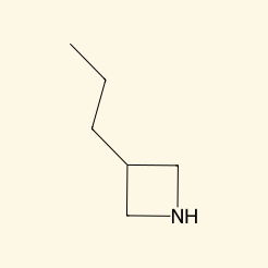 CCCC1CNC1